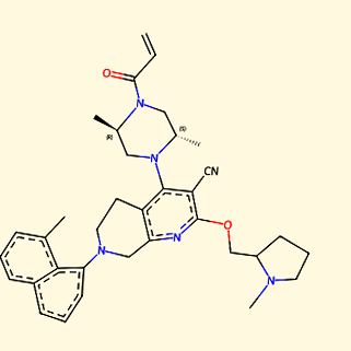 C=CC(=O)N1C[C@H](C)N(c2c(C#N)c(OCC3CCCN3C)nc3c2CCN(c2cccc4cccc(C)c24)C3)C[C@H]1C